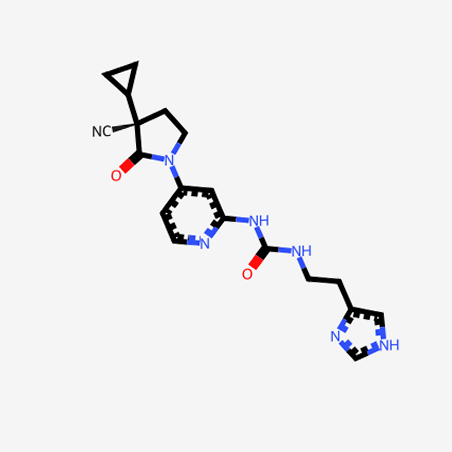 N#C[C@@]1(C2CC2)CCN(c2ccnc(NC(=O)NCCc3c[nH]cn3)c2)C1=O